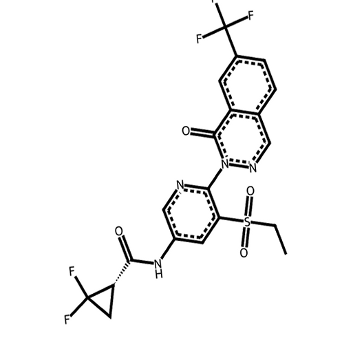 CCS(=O)(=O)c1cc(NC(=O)[C@@H]2CC2(F)F)cnc1-n1ncc2ccc(C(F)(F)F)cc2c1=O